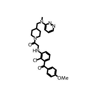 COc1ccc(C(=O)c2cccc(NCC(=O)N3CCC(CN(C)c4cccnn4)CC3)c2Cl)cc1